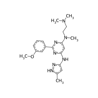 COc1cccc(-c2nc(Nc3cc(C)[nH]n3)cc(N(C)CCN(C)C)n2)c1